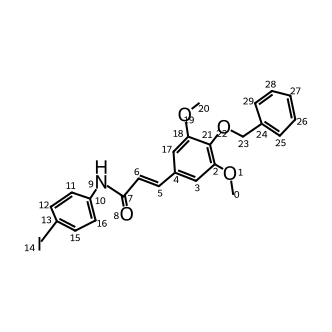 COc1cc(C=CC(=O)Nc2ccc(I)cc2)cc(OC)c1OCc1ccccc1